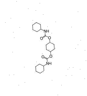 O=C(NC1CCCCC1)OC1CCC(OC(=O)NC2CCCCC2)CC1